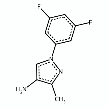 Cc1nn(-c2cc(F)cc(F)c2)cc1N